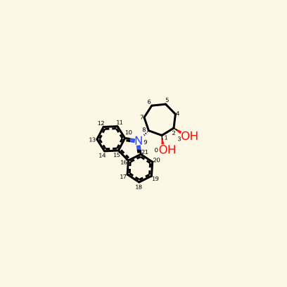 O[C@@H]1[C@H](O)CCCC[C@H]1n1c2ccccc2c2ccccc21